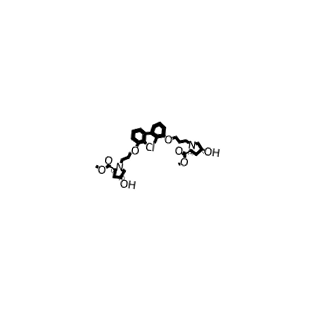 COC(=O)[C@@H]1C[C@@H](O)CN1CCCOc1cccc(-c2cccc(OCCCN3C[C@H](O)C[C@H]3C(=O)OC)c2Cl)c1C